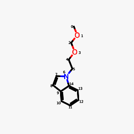 COCOCCn1ccc2ccccc21